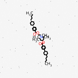 CCCCCC1CCC(c2ccc(C(=O)OC3CC(C)(C)N(CCOC(=O)c4ccc([C@H]5CC[C@H](CCCCC)CC5)cc4)C(C)(C)C3)cc2)CC1